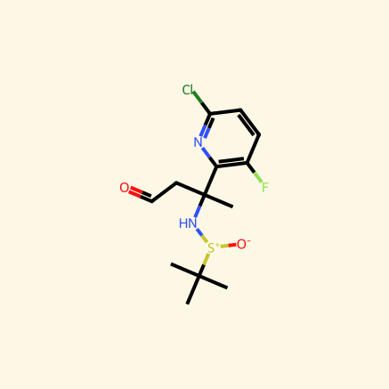 CC(CC=O)(N[S+]([O-])C(C)(C)C)c1nc(Cl)ccc1F